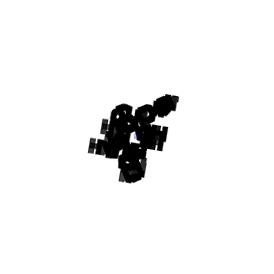 CN/C=C(\C=N)c1cc(Nc2nc(Nc3ccc4nccnc4c3P(C)C)c3cc[nH]c3n2)c2c(c1N1CCC(N3CCN(C)CC3)CC1)CCCO2